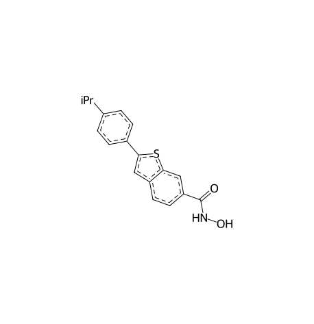 CC(C)c1ccc(-c2cc3ccc(C(=O)NO)cc3s2)cc1